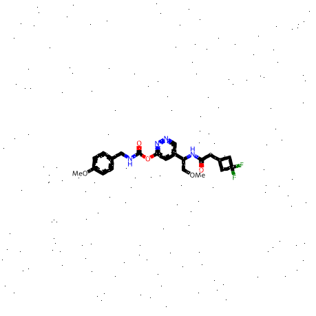 COCC(NC(=O)CC1CC(F)(F)C1)c1cnnc(OC(=O)NCc2ccc(OC)cc2)c1